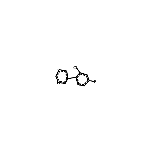 Fc1ccc(-c2c[c]cnc2)c(Cl)c1